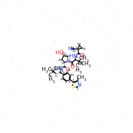 Cc1ncsc1-c1ccc([C@H](CC(C)(C)C)NC(=O)[C@@H]2C[C@@H](O)CN2C(=O)[C@@H](NC(=O)C2(C#N)CC2)C(C)(C)C)cc1